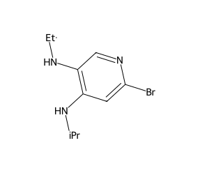 C[CH]Nc1cnc(Br)cc1NC(C)C